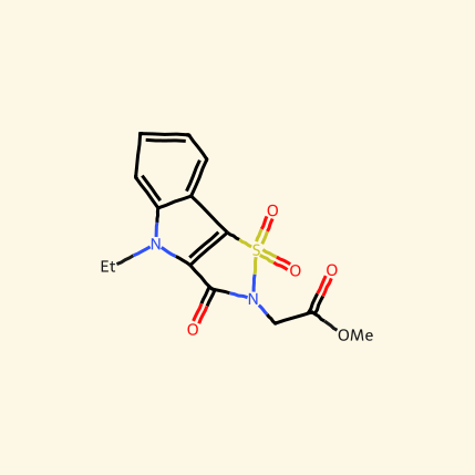 CCn1c2c(c3ccccc31)S(=O)(=O)N(CC(=O)OC)C2=O